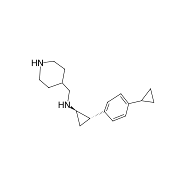 c1cc([C@@H]2C[C@H]2NCC2CCNCC2)ccc1C1CC1